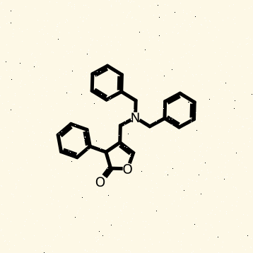 O=C1OC=C(CN(Cc2ccccc2)Cc2ccccc2)C1c1ccccc1